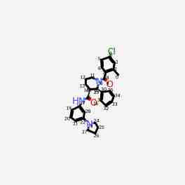 Cc1cc(Cl)ccc1C(=O)N1CCC[C@H](C(=O)Nc2cccc(N3CCCC3)c2)[C@@H]1c1ccccc1